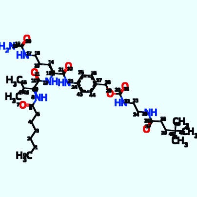 CCCCCCC(=O)N[C@H](C(=O)N[C@@H](CCCNC(N)=O)C(=O)Nc1ccc(COC(=O)NCCNC(=O)CCC(C)(C)C)cc1)C(C)C